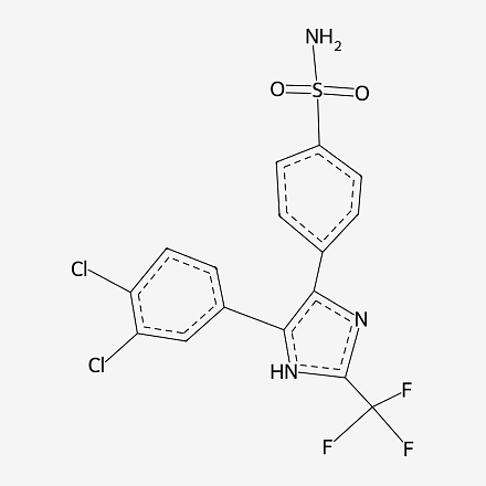 NS(=O)(=O)c1ccc(-c2nc(C(F)(F)F)[nH]c2-c2ccc(Cl)c(Cl)c2)cc1